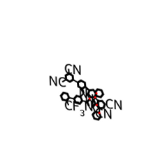 N#Cc1cc(C#N)cc(-c2ccc3c4ccc(-c5cc(C#N)cc(C#N)c5)cc4n(-c4cc(-c5ccccc5C(F)(F)F)ccc4-c4nc(-c5ccccc5)nc(-c5ccccc5)n4)c3c2)c1